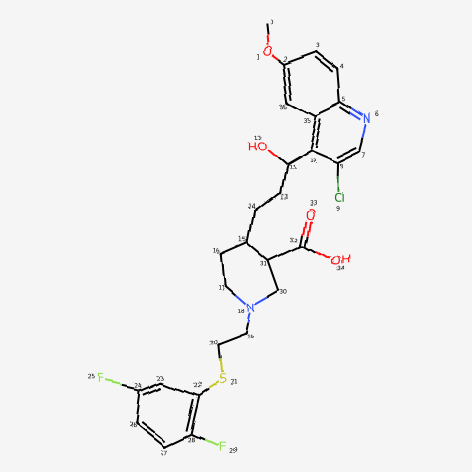 COc1ccc2ncc(Cl)c(C(O)CCC3CCN(CCSc4cc(F)ccc4F)CC3C(=O)O)c2c1